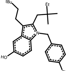 CCC(C)(C)Cc1c(CCC(C)(C)C)c2cc(O)ccc2n1Cc1ccc(Cl)cc1